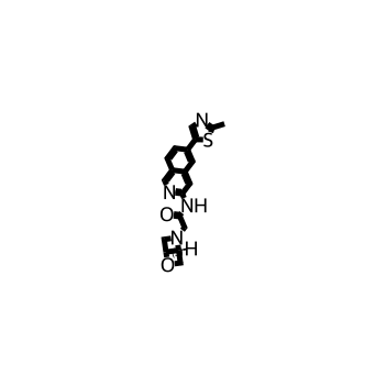 Cc1ncc(-c2ccc3cnc(NC(=O)CN4CC5OC[C@@H]54)cc3c2)s1